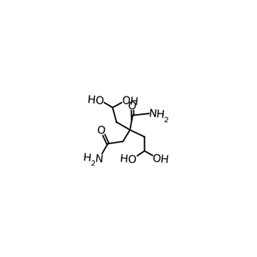 NC(=O)CC(CC(O)O)(CC(O)O)C(N)=O